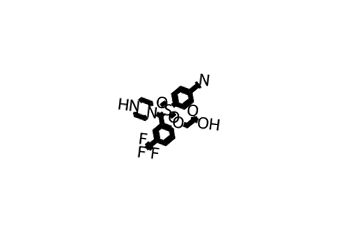 N#Cc1ccc(S(=O)(=O)C(c2cc(C(F)(F)F)ccc2OCC(=O)O)N2CCNCC2)cc1